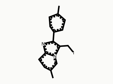 Cc1ccc(-c2nc3ccc(C)cn3c2CI)cc1